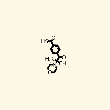 CC(C)(C(=O)c1ccc(C(=O)S)cc1)N1CCOCC1